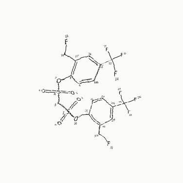 O=S(=O)(CS(=O)(=O)Oc1ccc(C(F)(F)F)cc1CF)Oc1ccc(C(F)(F)F)cc1CF